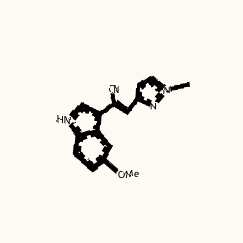 COc1ccc2[nH]cc(C(C#N)=Cc3ccn(C)n3)c2c1